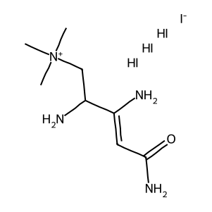 C[N+](C)(C)CC(N)C(N)=CC(N)=O.I.I.I.[I-]